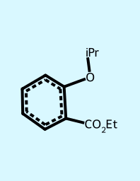 CCOC(=O)c1ccccc1OC(C)C